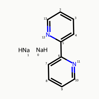 [NaH].[NaH].c1ccc(-c2ccccn2)nc1